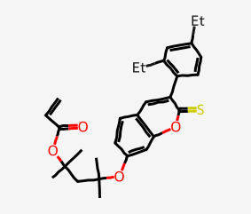 C=CC(=O)OC(C)(C)CC(C)(C)Oc1ccc2cc(-c3ccc(CC)cc3CC)c(=S)oc2c1